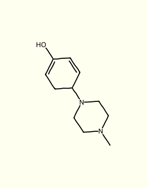 CN1CCN(C2C=CC(O)=CC2)CC1